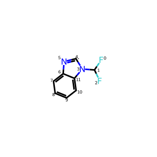 FC(F)n1[c]nc2ccccc21